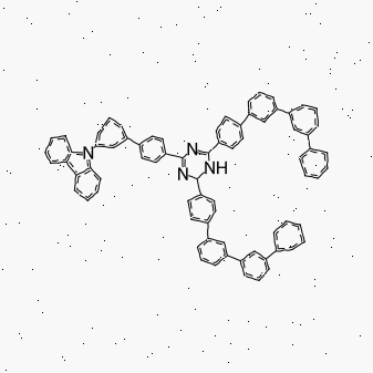 c1ccc(-c2cccc(-c3cccc(-c4ccc(C5=NC(c6ccc(-c7cccc(-n8c9ccccc9c9ccccc98)c7)cc6)=NC(c6ccc(-c7cccc(-c8cccc(-c9ccccc9)c8)c7)cc6)N5)cc4)c3)c2)cc1